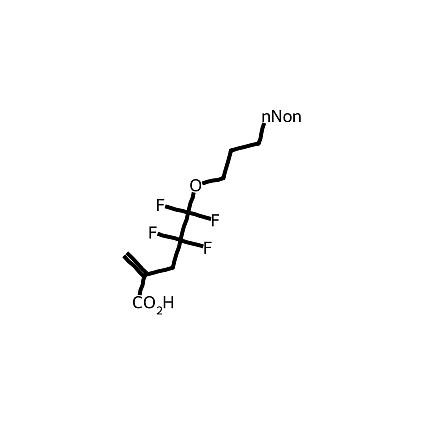 C=C(CC(F)(F)C(F)(F)OCCCCCCCCCCCC)C(=O)O